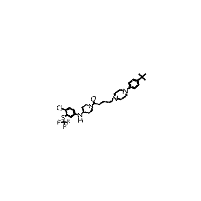 CC(C)(C)c1ccc(N2CCN(CCCC(=O)N3CCC(Nc4ccc(Cl)c(SC(F)(F)F)c4)CC3)CC2)cc1